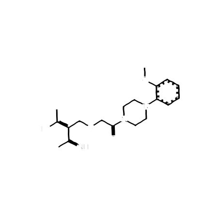 COc1ccccc1N1CCN(C(=O)CSC/C(C(C)=N)=C(\C)O)CC1